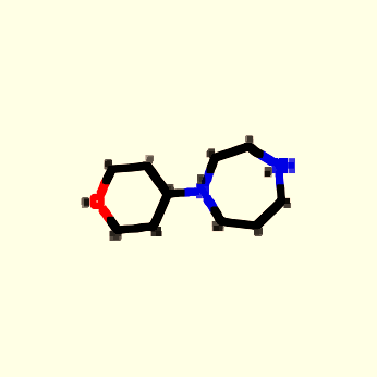 C1CNCCN(C2CCOCC2)C1